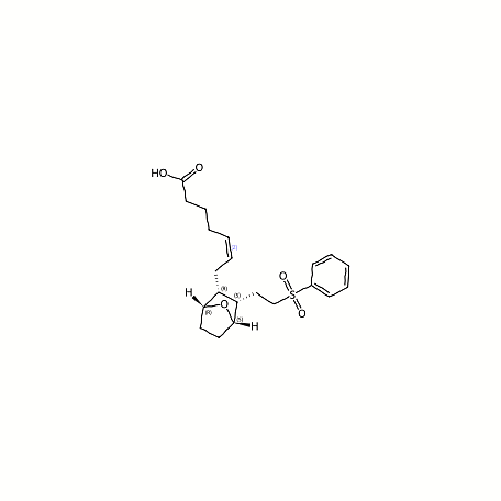 O=C(O)CCC/C=C\C[C@@H]1[C@H](CCS(=O)(=O)c2ccccc2)[C@@H]2CC[C@H]1O2